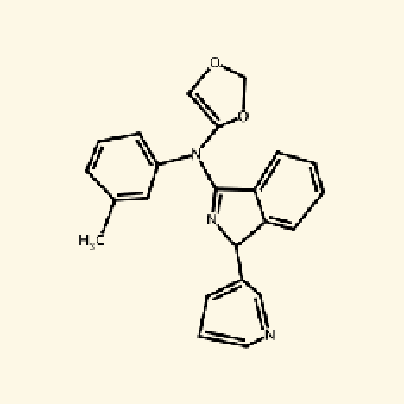 Cc1cccc(N(C2=COCO2)C2=NC(c3cccnc3)c3ccccc32)c1